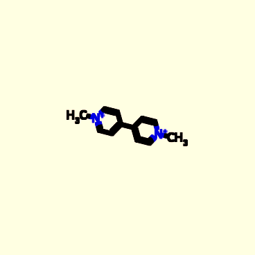 C[N+]1=C=C=C(c2cc[n+](C)cc2)C=C1